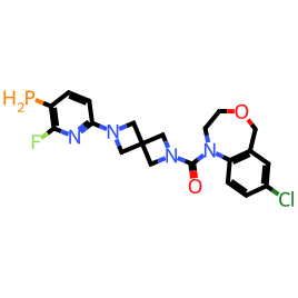 O=C(N1CC2(C1)CN(c1ccc(P)c(F)n1)C2)N1CCOCc2cc(Cl)ccc21